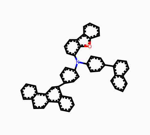 c1ccc2c(-c3ccc(N(c4ccc(-c5cc6c7ccccc7ccc6c6ccccc56)cc4)c4cccc5c4oc4ccccc45)cc3)cccc2c1